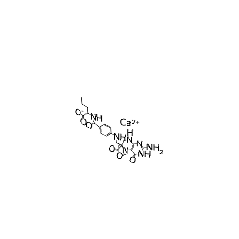 CCCC(NC(=O)c1ccc(NC[C@@]2(C(=O)[O-])CNc3nc(N)[nH]c(=O)c3N2C)cc1)C(=O)[O-].[Ca+2]